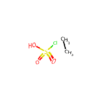 CC.O=S(=O)(O)Cl